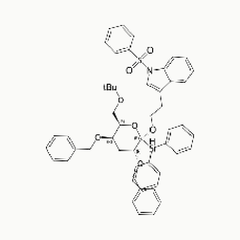 CC(C)(C)OC[C@H]1O[C@@](OCCc2cn(S(=O)(=O)c3ccccc3)c3ccccc23)([SiH](c2ccccc2)c2ccccc2)[C@H](OCc2ccccc2)C[C@H]1OCc1ccccc1